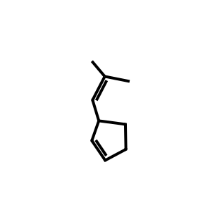 CC(C)=CC1C=CCC1